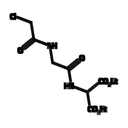 CCOC(=O)C(NC(=O)CNC(=O)CCl)C(=O)OCC